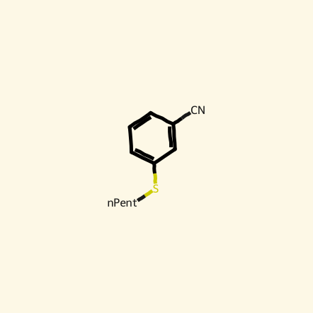 CCCCCSc1cccc(C#N)c1